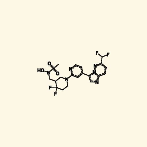 CS(=O)(=O)N(O)CC1CN(c2cc(-c3cnc4ccc(C(F)F)nn34)ccn2)CCC1(F)F